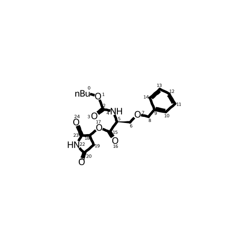 CCCCOC(=O)N[C@@H](COCc1ccccc1)C(=O)OC1CC(=O)NC1=O